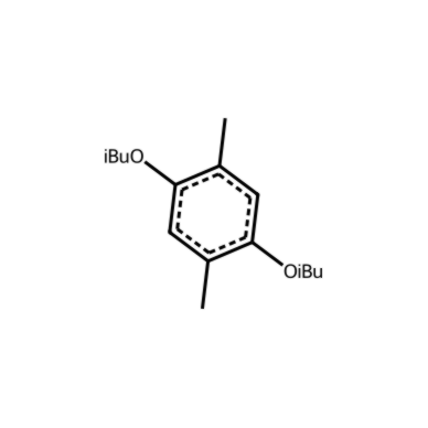 Cc1cc(OCC(C)C)c(C)cc1OCC(C)C